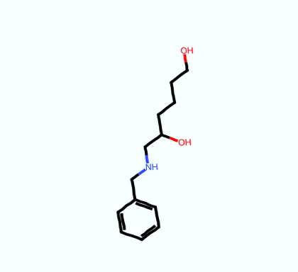 OCCCCC(O)CNCc1ccccc1